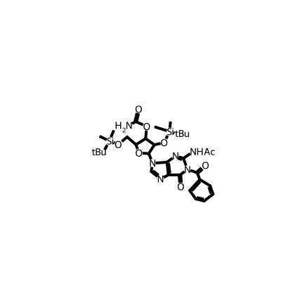 CC(=O)Nc1nc2c(ncn2C2OC(CO[Si](C)(C)C(C)(C)C)C(OC(N)=O)C2O[Si](C)(C)C(C)(C)C)c(=O)n1C(=O)c1ccccc1